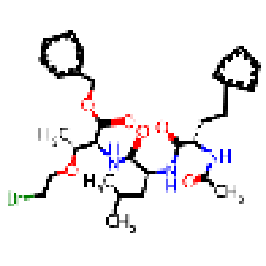 CC(=O)N[C@@H](CCc1ccccc1)C(=O)N[C@@H](CC(C)C)C(=O)N[C@H](C(=O)OCc1ccccc1)[C@@H](C)OCCBr